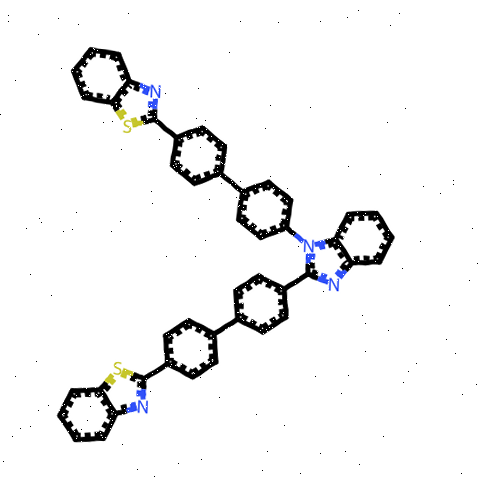 c1ccc2sc(-c3ccc(-c4ccc(-c5nc6ccccc6n5-c5ccc(-c6ccc(-c7nc8ccccc8s7)cc6)cc5)cc4)cc3)nc2c1